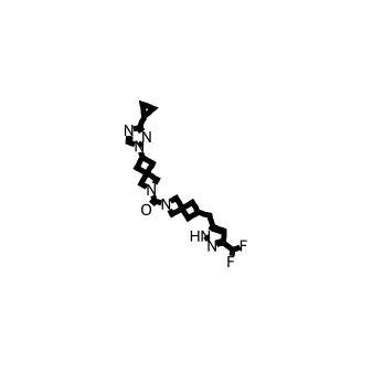 O=C(N1CC2(CC(Cc3cc(C(F)F)n[nH]3)C2)C1)N1CC2(CC(n3cnc(C4CC4)n3)C2)C1